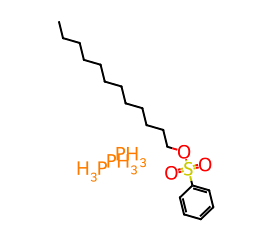 CCCCCCCCCCCCOS(=O)(=O)c1ccccc1.P.P.P